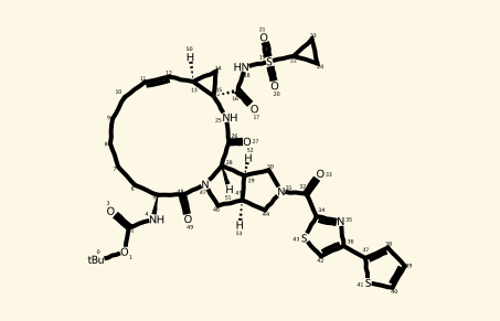 CC(C)(C)OC(=O)N[C@H]1CCCCC/C=C\[C@H]2C[C@@]2(C(=O)NS(=O)(=O)C2CC2)NC(=O)[C@@H]2[C@H]3CN(C(=O)c4nc(-c5cccs5)cs4)C[C@H]3CN2C1=O